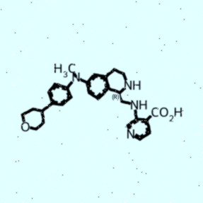 CN(c1ccc(C2CCOCC2)cc1)c1ccc2c(c1)CCN[C@H]2CNc1cnccc1C(=O)O